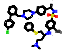 C=C(NS(=O)(=O)c1ccc(NC(CCN(C)C)CSc2ccccc2)c([N+](=O)[O-])c1)c1ccc(N2CCN(Cc3ccccc3-c3ccc(Cl)cc3)CC2)cc1